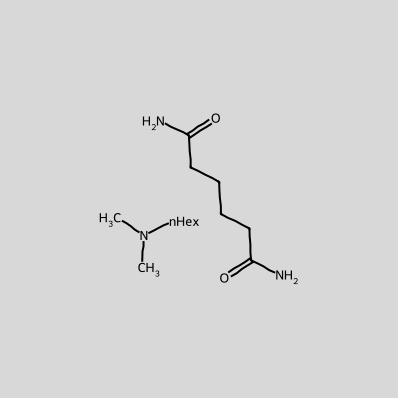 CCCCCCN(C)C.NC(=O)CCCCC(N)=O